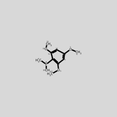 COc1cc(OC)c(P(C)C)c(OC)c1